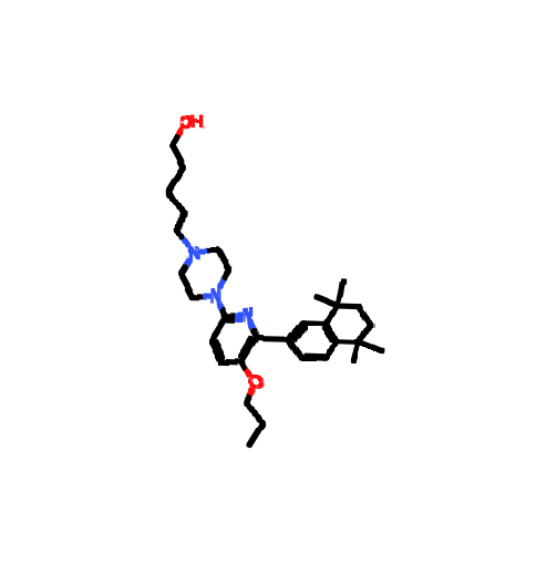 CCCOc1ccc(N2CCN(CCCCCO)CC2)nc1-c1ccc2c(c1)C(C)(C)CCC2(C)C